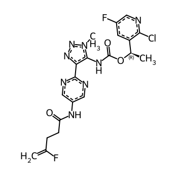 C=C(F)CCC(=O)Nc1cnc(-c2nnn(C)c2NC(=O)O[C@H](C)c2cc(F)cnc2Cl)nc1